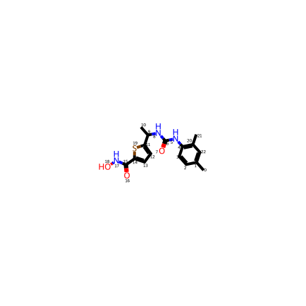 Cc1ccc(NC(=O)NC(C)c2ccc(C(=O)NO)s2)c(C)c1